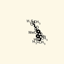 COc1c(OC(=O)CCC(=O)N(C)C)ccc2c1-c1ccc3c(c1C(C(C)C)O2)C(C)=CC(C)(C)N3